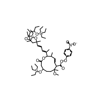 CCC(O[Si](CC)(CC)CC)C(C)C1OC1CC(C)(/C=C/C=C(\C)C1OC(=O)CC(O[Si](CC)(CC)CC)CCC(C)(OC)C(C(=O)OOc2ccc([N+](=O)[O-])cc2)/C=C/C1C)O[Si](CC)(CC)CC